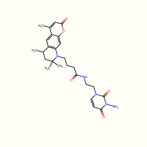 Cc1cc(=O)oc2cc3c(cc12)C(C)CC(C)(C)N3CCCC(=O)NCCn1ccc(=O)n(N)c1=O